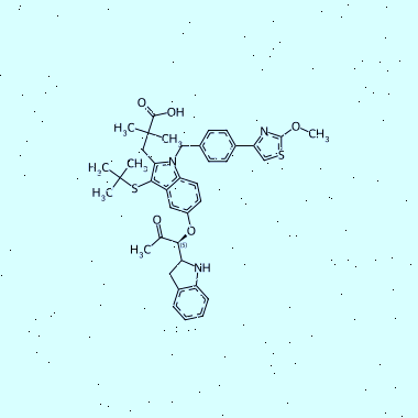 COc1nc(-c2ccc(Cn3c(CC(C)(C)C(=O)O)c(SC(C)(C)C)c4cc(O[C@H](C(C)=O)C5Cc6ccccc6N5)ccc43)cc2)cs1